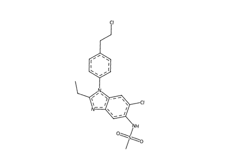 CCc1nc2cc(NS(C)(=O)=O)c(Cl)cc2n1-c1ccc(CCCl)cc1